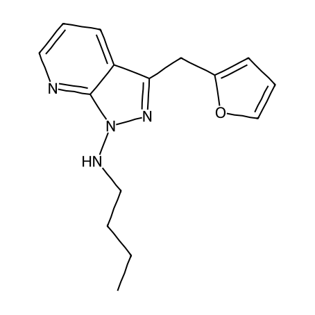 CCCCNn1nc(Cc2ccco2)c2cccnc21